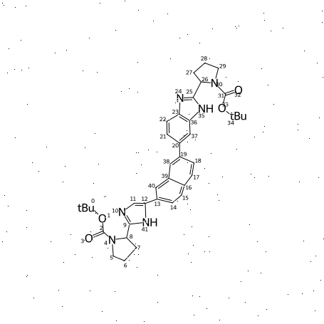 CC(C)(C)OC(=O)N1CCCC1c1ncc(-c2ccc3ccc(-c4ccc5nc(C6CCCN6C(=O)OC(C)(C)C)[nH]c5c4)cc3c2)[nH]1